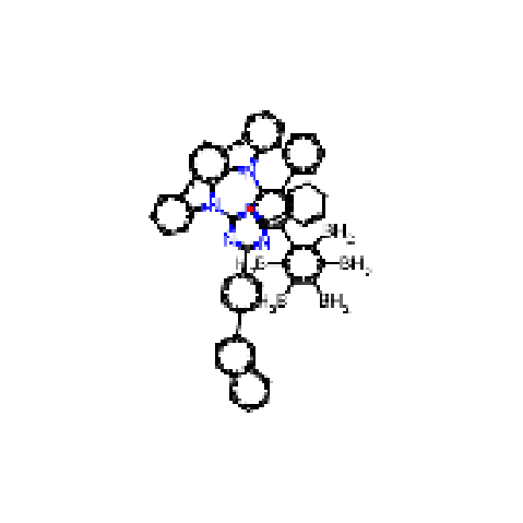 Bc1c(B)c(B)c(-c2ccc(-n3c4ccccc4c4ccc5c6ccccc6n(-c6nc(C7=CCCC=C7)nc(-c7ccc(-c8ccc9ccccc9c8)cc7)n6)c5c43)c(-c3ccccc3)c2)c(B)c1B